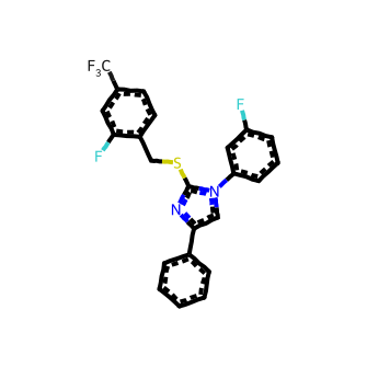 Fc1cccc(-n2cc(-c3ccccc3)nc2SCc2ccc(C(F)(F)F)cc2F)c1